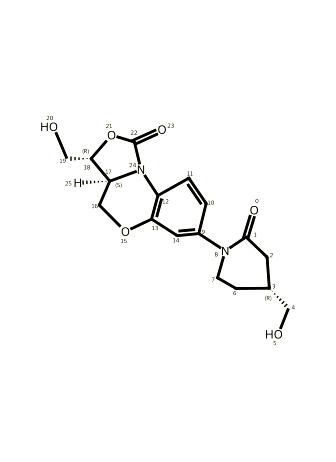 O=C1C[C@H](CO)CCN1c1ccc2c(c1)OC[C@H]1[C@H](CO)OC(=O)N21